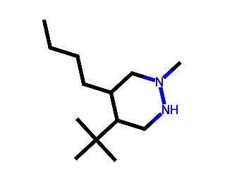 CCCCC1CN(C)NCC1C(C)(C)C